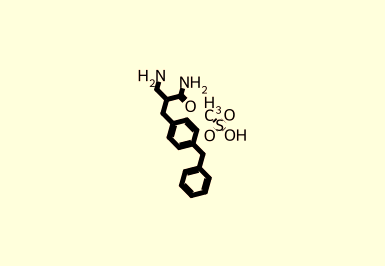 CS(=O)(=O)O.NCC(Cc1ccc(Cc2ccccc2)cc1)C(N)=O